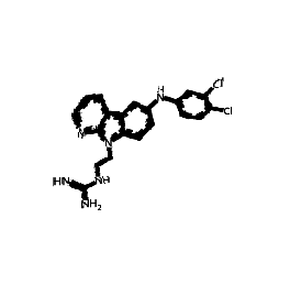 N=C(N)NCCn1c2ccc(Nc3ccc(Cl)c(Cl)c3)cc2c2cccnc21